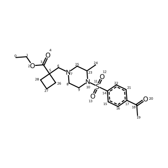 CCOC(=O)C1(CN2CCN(S(=O)(=O)c3ccc(C(C)=O)cc3)C(C)C2)CCC1